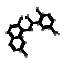 CCC(Nc1c(Cl)cnc2ccc(Br)cc12)c1nc(C)ccc1F